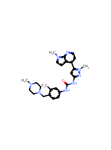 CN1CCN(Cc2ccc(NC(=O)Nc3cc(-c4ccnc5c4ccn5C)n(C)n3)cc2C(F)(F)F)CC1